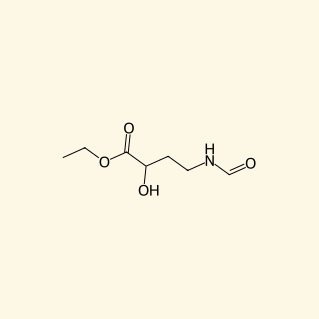 CCOC(=O)C(O)CCNC=O